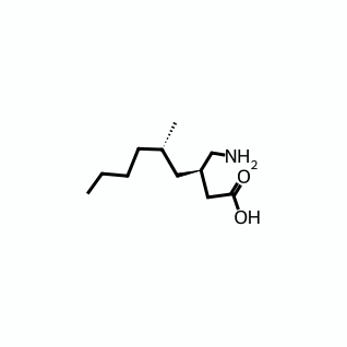 CCCC[C@H](C)C[C@@H](CN)CC(=O)O